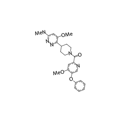 CNc1cc(OC)c(C2CCN(C(=O)c3cc(OC)c(Oc4ccccc4)cn3)CC2)nn1